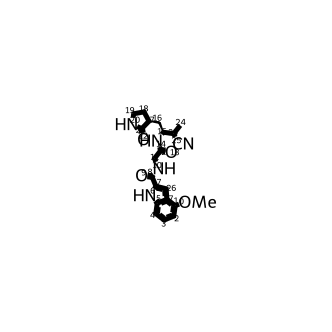 COc1cccc2[nH]c(C(=O)NCC(=O)N[C@@H](C[C@@H]3CCNC3=O)C(C)C#N)cc12